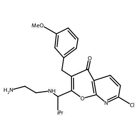 COc1cccc(Cc2c(C(NCCN)C(C)C)oc3nc(Cl)ccc3c2=O)c1